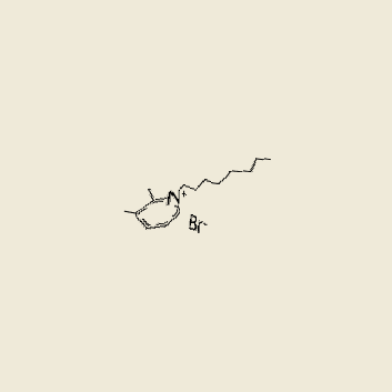 CCCCCCCC[n+]1cccc(C)c1C.[Br-]